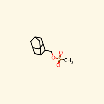 CS(=O)(=O)OCC1C2CC3CC(C2)CC1C3